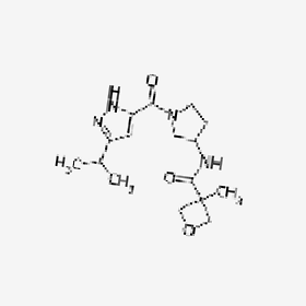 CC(C)c1cc(C(=O)N2CCC(NC(=O)C3(C)COC3)C2)[nH]n1